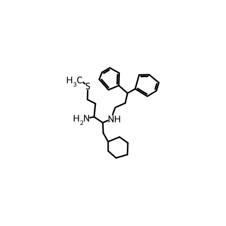 CSCCC(N)C(CC1CCCCC1)NCCC(c1ccccc1)c1ccccc1